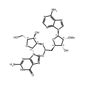 COB(C[C@H]1O[C@@H](n2cnc3c(N)ncnc32)[C@H](OC)[C@@H]1O)O[C@@H]1[C@H](O)[C@@H](CO)O[C@H]1n1cnc2c(=O)[nH]c(N)nc21